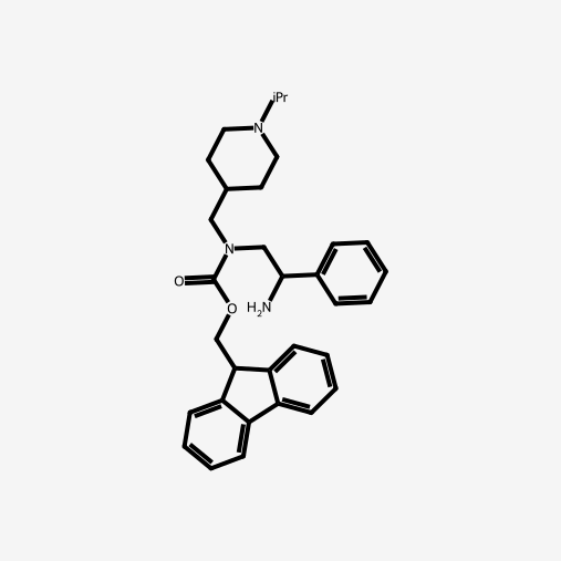 CC(C)N1CCC(CN(CC(N)c2ccccc2)C(=O)OCC2c3ccccc3-c3ccccc32)CC1